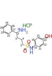 Cl.NC(CCCS(=O)(=O)Nc1ccc(O)cc1)c1ccccc1